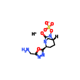 NCc1nnc([C@@H]2CC[C@@H]3CN2C(=O)N3OS(=O)(=O)[O-])o1.[H+]